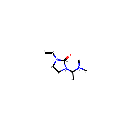 C=CN1CCN(C(C)N(C)C)C1=O